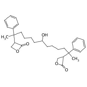 CC(CCCCC(O)CCCCC(C)(c1ccccc1)C1COC1=O)(c1ccccc1)C1COC1=O